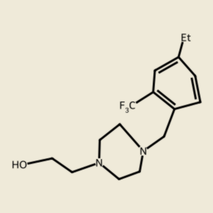 CCc1ccc(CN2CCN(CCO)CC2)c(C(F)(F)F)c1